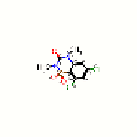 CN1C(=O)N(C)S(=O)(=O)c2c(Cl)cc(Cl)cc21